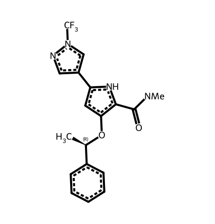 CNC(=O)c1[nH]c(-c2cnn(C(F)(F)F)c2)cc1O[C@H](C)c1ccccc1